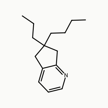 CCCCC1(CCC)Cc2cccnc2C1